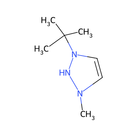 CN1C=CN(C(C)(C)C)N1